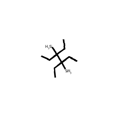 CCC([SiH3])(CC)C([SiH3])(CC)CC